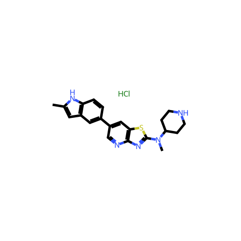 Cc1cc2cc(-c3cnc4nc(N(C)C5CCNCC5)sc4c3)ccc2[nH]1.Cl